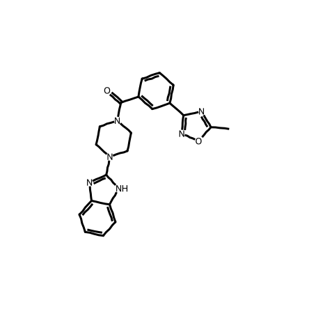 Cc1nc(-c2cccc(C(=O)N3CCN(c4nc5ccccc5[nH]4)CC3)c2)no1